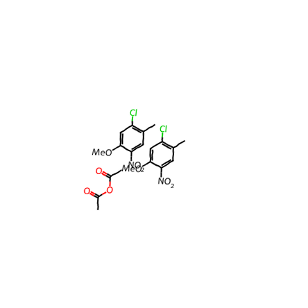 CC(=O)OC(C)=O.COc1cc(Cl)c(C)cc1[N+](=O)[O-].COc1cc(Cl)c(C)cc1[N+](=O)[O-]